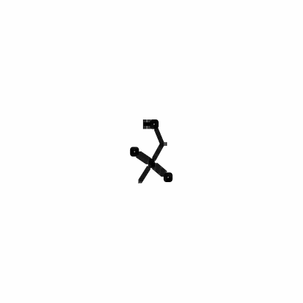 CS(=O)(=O)[CH]O